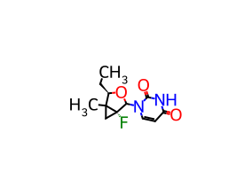 CC[C@H]1OC(n2ccc(=O)[nH]c2=O)[C@@]2(F)CC12C